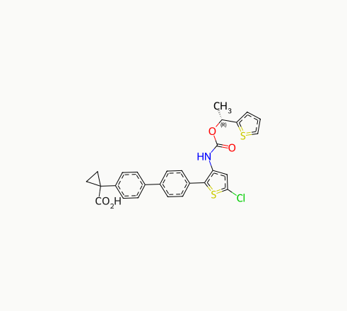 C[C@@H](OC(=O)Nc1cc(Cl)sc1-c1ccc(-c2ccc(C3(C(=O)O)CC3)cc2)cc1)c1cccs1